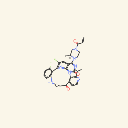 C=CC(=O)N1CCN(c2nc(=O)n3c4nc(c(F)cc24)-c2c(F)cccc2NCCC(=O)c2ccnc(C(C)C)c2-3)[C@@H](C)C1